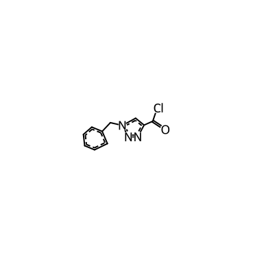 O=C(Cl)c1cn(Cc2ccccc2)nn1